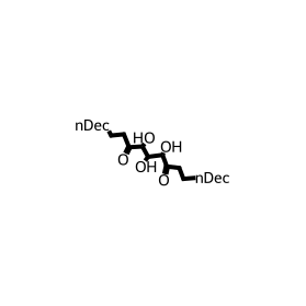 CCCCCCCCCCCCC(=O)C(O)C(O)C(O)C(=O)CCCCCCCCCCCC